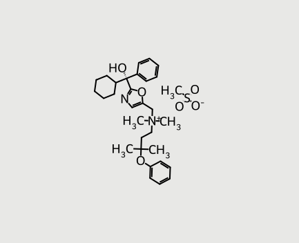 CC(C)(CC[N+](C)(C)Cc1cnc([C@](O)(c2ccccc2)C2CCCCC2)o1)Oc1ccccc1.CS(=O)(=O)[O-]